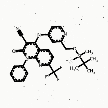 CC(C)(C)[Si](C)(C)OCc1cc(Nc2c(C#N)c(=O)n(-c3ccccc3)c3nc(C(F)(F)F)ccc23)ccn1